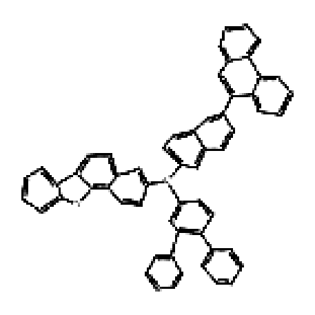 c1ccc(-c2ccc(N(c3ccc4cc(-c5cc6ccccc6c6ccccc56)ccc4c3)c3ccc4c(ccc5c6ccccc6oc45)c3)cc2-c2ccccc2)cc1